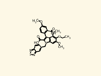 CCOc1c(OC)cc2c(c1OC)c(-c1ccc(OC)cc1C(=O)O)c(C(=O)O)n2Cc1ccc2nsnc2c1